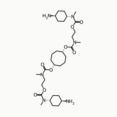 CN(CCOC(=O)N(C)[C@H]1CC[C@H](N)CC1)C(=O)O[C@H]1CCC[C@@H](OC(=O)N(C)CCOC(=O)N(C)[C@H]2CC[C@H](N)CC2)CCC1